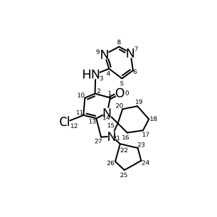 O=c1c(Nc2ccncn2)cc(Cl)c2n1C1(CCCCC1)N(C1CCCC1)C2